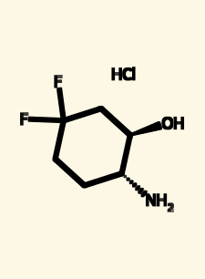 Cl.N[C@@H]1CCC(F)(F)C[C@H]1O